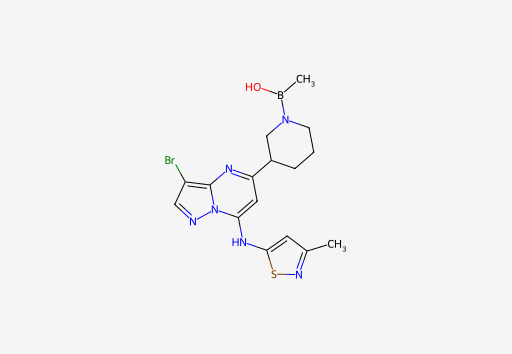 CB(O)N1CCCC(c2cc(Nc3cc(C)ns3)n3ncc(Br)c3n2)C1